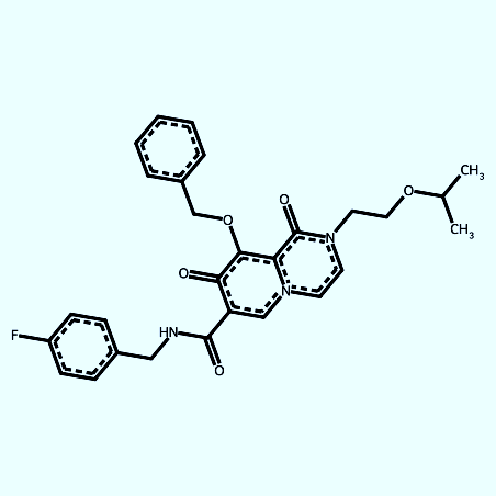 CC(C)OCCn1ccn2cc(C(=O)NCc3ccc(F)cc3)c(=O)c(OCc3ccccc3)c2c1=O